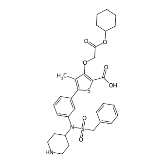 Cc1c(-c2cccc(N(C3CCNCC3)S(=O)(=O)Cc3ccccc3)c2)sc(C(=O)O)c1OCC(=O)OC1CCCCC1